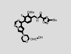 COc1c(CNC(=O)c2nc(C(C)(C)C)no2)ccc(-c2ncnn3cc(N4CCOCC4)cc23)c1F.O=CO